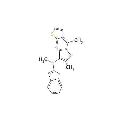 CC1=C(C(C)C2=Cc3ccccc3C2)c2cc3sccc3c(C)c2C1